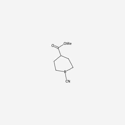 COC(=O)C1CCB(C#N)CC1